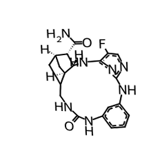 NC(=O)[C@H]1[C@@H]2CC3CNC(=O)Nc4cccc(c4)Nc4ncc(F)c(n4)N[C@@H]1[C@@H]3C2